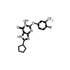 CCCn1c(Oc2ccc(F)c(C(F)(F)F)c2)nc2nc(C3CCCC3)[nH]c2c1=O